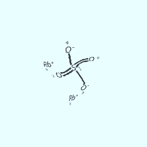 O=S(=O)([O-])[O-].[Rb+].[Rb+]